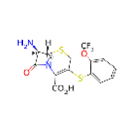 N[C@@H]1C(=O)N2C(C(=O)O)=C(Sc3ccccc3OC(F)(F)F)CS[C@@H]12